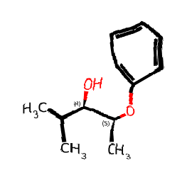 CC(C)[C@@H](O)[C@H](C)Oc1ccccc1